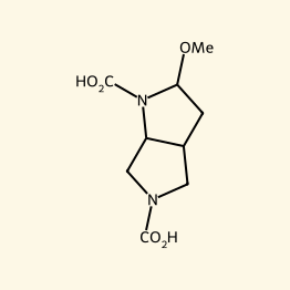 COC1CC2CN(C(=O)O)CC2N1C(=O)O